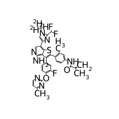 [2H]C([2H])([2H])n1cc(-c2cnc(N)c3c(-c4ccc(Oc5nccc(C)n5)c(F)c4)c(-c4ccc(NC(=O)C(=C)C)cc4C)sc23)nc1C(F)F